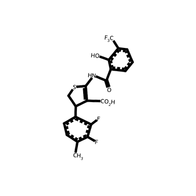 Cc1ccc(C2CSC(NC(=O)c3cccc(C(F)(F)F)c3O)=C2C(=O)O)c(F)c1F